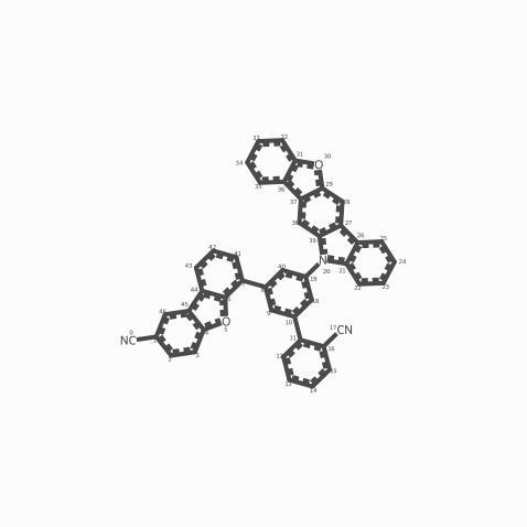 N#Cc1ccc2oc3c(-c4cc(-c5ccccc5C#N)cc(-n5c6ccccc6c6cc7oc8ccccc8c7cc65)c4)cccc3c2c1